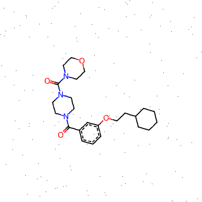 O=C(c1cccc(OCCC2CCCCC2)c1)N1CCN(C(=O)N2CCOCC2)CC1